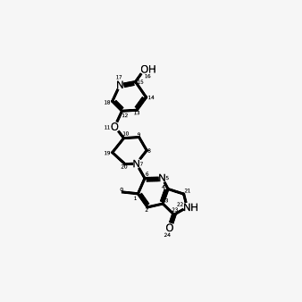 Cc1cc2c(nc1N1CCC(Oc3ccc(O)nc3)CC1)CNC2=O